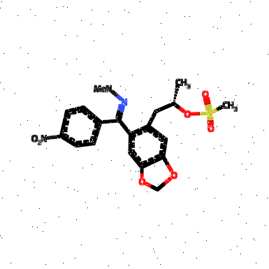 CNN=C(c1ccc([N+](=O)[O-])cc1)c1cc2c(cc1C[C@H](C)OS(C)(=O)=O)OCO2